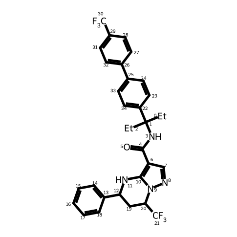 CCC(CC)(NC(=O)c1cnn2c1NC(c1ccccc1)CC2C(F)(F)F)c1ccc(-c2ccc(C(F)(F)F)cc2)cc1